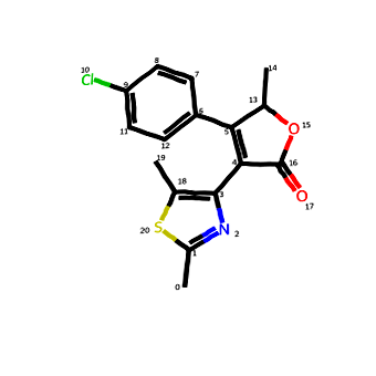 Cc1nc(C2=C(c3ccc(Cl)cc3)C(C)OC2=O)c(C)s1